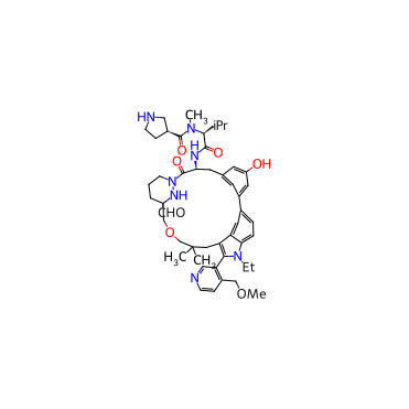 CCn1c(-c2cnccc2COC)c2c3cc(ccc31)-c1cc(O)cc(c1)C[C@H](NC(=O)[C@H](C(C)C)N(C)C(=O)[C@H]1CCNC1)C(=O)N1CCCC(C=O)(COCC(C)(C)C2)N1